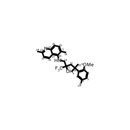 COc1ccc(F)cc1C(C)(C)CC(O)(CNc1c(C)ccc2nc(C)ccc12)C(F)(F)F